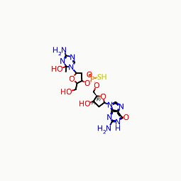 CC1(O)N=C(N)N=CN1C1CC(OP(=O)(S)OC[C@H]2OC(n3cnc4c(=O)[nH]c(N)nc43)C[C@H]2O)C(CO)O1